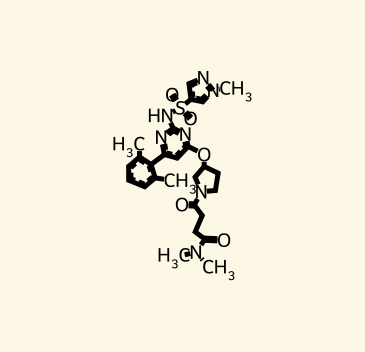 Cc1cccc(C)c1-c1cc(OC2CCN(C(=O)CCC(=O)N(C)C)C2)nc(NS(=O)(=O)c2cnn(C)c2)n1